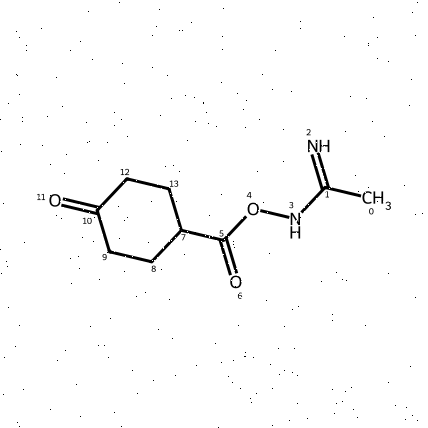 CC(=N)NOC(=O)C1CCC(=O)CC1